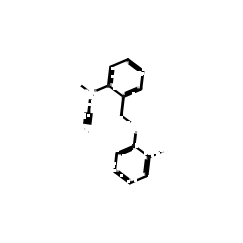 Cc1ccccc1OCc1ccccc1N(C)C#N